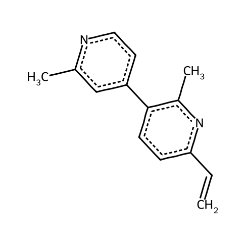 C=Cc1ccc(-c2ccnc(C)c2)c(C)n1